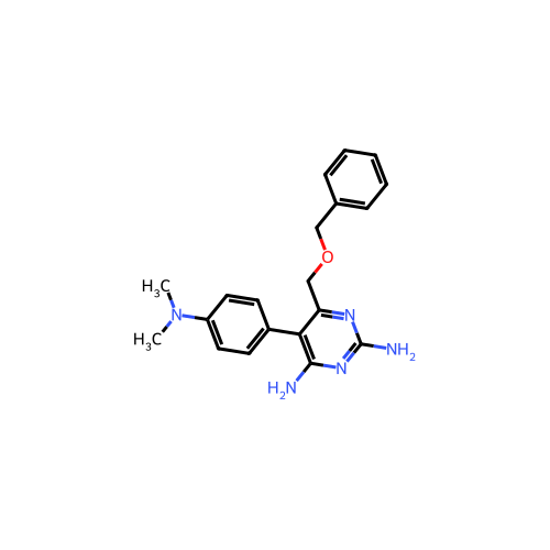 CN(C)c1ccc(-c2c(N)nc(N)nc2COCc2ccccc2)cc1